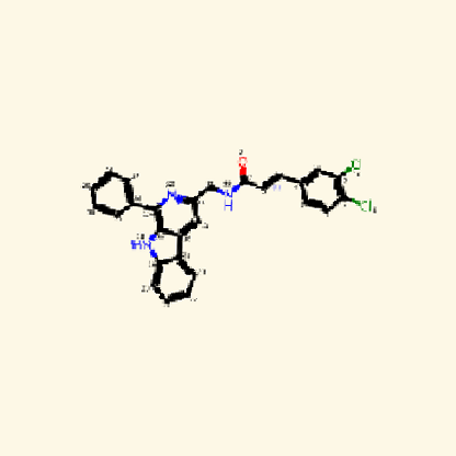 O=C(/C=C/c1ccc(Cl)c(Cl)c1)NCc1cc2c([nH]c3ccccc32)c(-c2ccccc2)n1